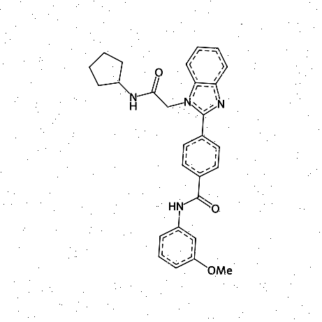 COc1cccc(NC(=O)c2ccc(-c3nc4ccccc4n3CC(=O)NC3CCCC3)cc2)c1